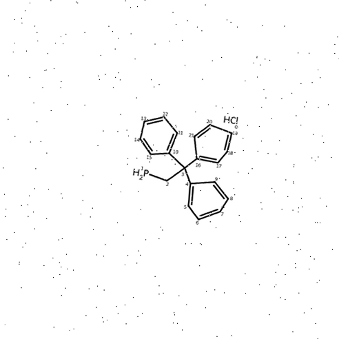 Cl.PCC(c1ccccc1)(c1ccccc1)c1ccccc1